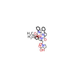 CC(C)(C)OC(=O)N1c2ccccc2C[C@@H]1C(=O)N1[C@@H](c2ccccc2)CC[C@H]1C(=O)N1Cc2ccccc2C[C@@H]1CC(=O)N1CCCC1C(=O)O